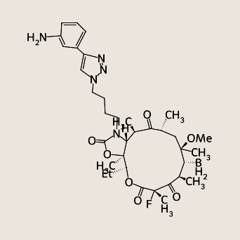 B[C@@H]1[C@@H](C)C(=O)[C@](C)(F)C(=O)O[C@H](CC)[C@@]2(C)OC(=O)N(CCCCn3cc(-c4cccc(N)c4)nn3)[C@@H]2[C@@H](C)C(=O)[C@H](C)C[C@@]1(C)OC